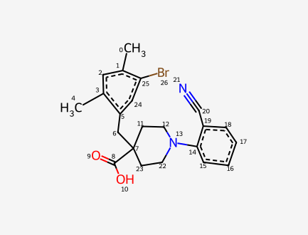 Cc1cc(C)c(CC2(C(=O)O)CCN(c3ccccc3C#N)CC2)cc1Br